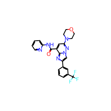 O=C(Nc1ccccn1)c1cc(N2CCOCC2)nn2cc(-c3cccc(C(F)(F)F)c3)nc12